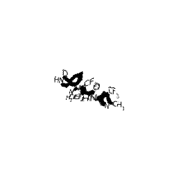 C=NN(/C(=C(\C)C(=O)Nc1cnc(C)c(C(F)(F)F)c1)C(F)(F)F)c1cccc2c(=O)[nH]ccc12